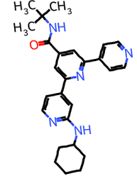 CC(C)(C)NC(=O)c1cc(-c2ccncc2)nc(-c2ccnc(NC3CCCCC3)c2)c1